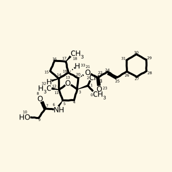 CC(C)[C@@]12C[C@@H](NC(=O)CO)[C@@](C)(O1)[C@@H]1CC[C@@H](C)[C@H]1[C@@H]2OC(=O)/C=C/C1CCCCC1